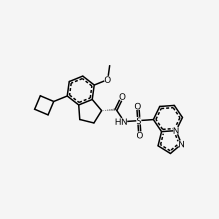 COc1ccc(C2CCC2)c2c1[C@H](C(=O)NS(=O)(=O)c1cccn3nccc13)CC2